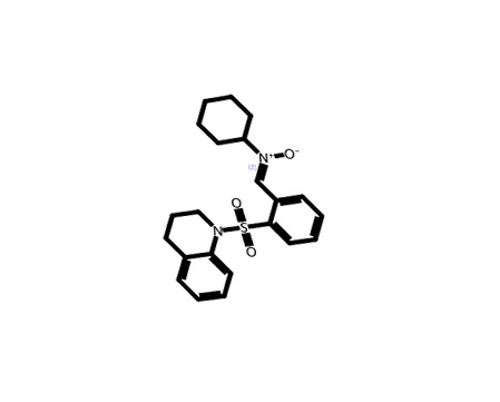 O=S(=O)(c1ccccc1/C=[N+](\[O-])C1CCCCC1)N1CCCc2ccccc21